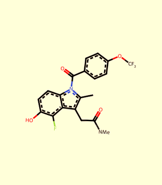 CNC(=O)Cc1c(C)n(C(=O)c2ccc(OC(F)(F)F)cc2)c2ccc(O)c(F)c12